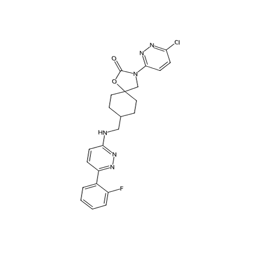 O=C1OC2(CCC(CNc3ccc(-c4ccccc4F)nn3)CC2)CN1c1ccc(Cl)nn1